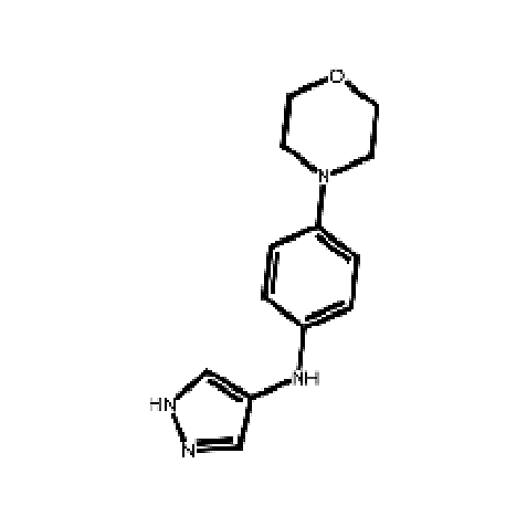 c1cc(N2CCOCC2)ccc1Nc1cn[nH]c1